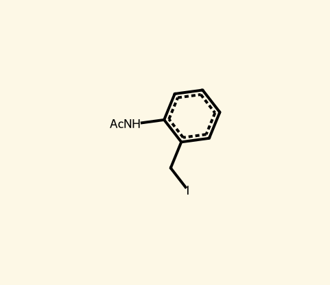 CC(=O)Nc1ccccc1CI